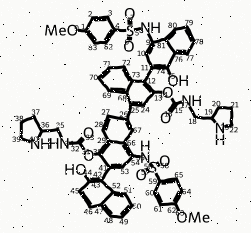 COc1ccc(S(=O)(=O)Nc2cc(-c3c(OC(=O)NCC4CCCN4)cc(-c4ccc5c(OC(=O)NCC6CCCN6)c(-c6c(O)ccc7ccccc67)cc(NS(=O)(=O)c6ccc(OC)cc6)c5c4)c4ccccc34)c(O)c3ccccc23)cc1